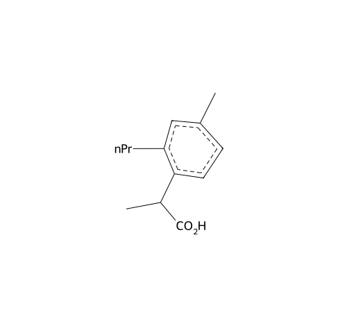 CCCc1cc(C)ccc1C(C)C(=O)O